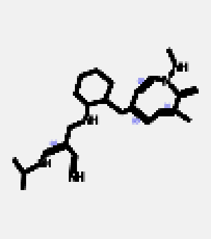 C=C1/C(C)=C/C=C(CC2CCCCC2NC/C(C=N)=C/BC(C)C)\C=C/N1NC